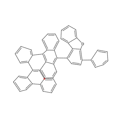 c1ccc(-c2ccc(-c3c4ccccc4c(-c4ccccc4-c4cc5ccccc5c5ccccc45)c4ccccc34)c3c2oc2ccccc23)cc1